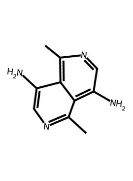 Cc1ncc(N)c2c(C)ncc(N)c12